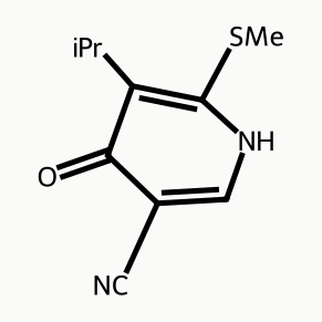 CSc1[nH]cc(C#N)c(=O)c1C(C)C